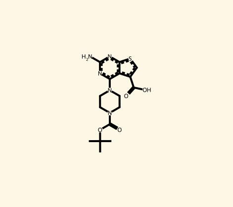 CC(C)(C)OC(=O)N1CCN(c2nc(N)nc3scc(C(=O)O)c23)CC1